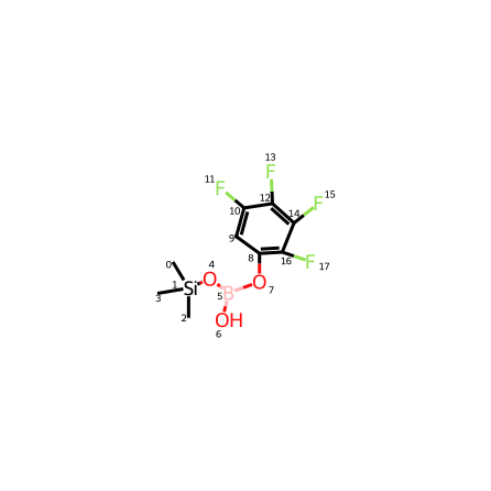 C[Si](C)(C)OB(O)Oc1cc(F)c(F)c(F)c1F